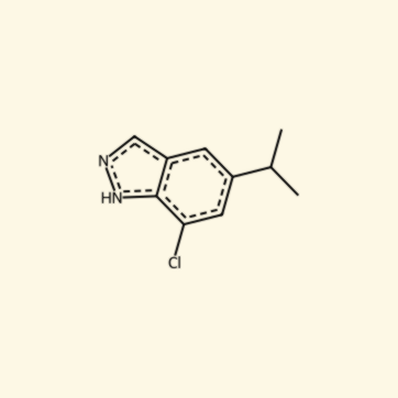 CC(C)c1cc(Cl)c2[nH]ncc2c1